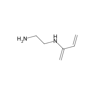 C=CC(=C)NCCN